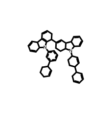 C1=CCC(C2C=CC(N3C4C=CC=CC4C4C=C(C5CC=CC6=C5N(c5cccc(C7C=CCCC7)c5)C5C=CC=CC65)CCC43)CC2)C=C1